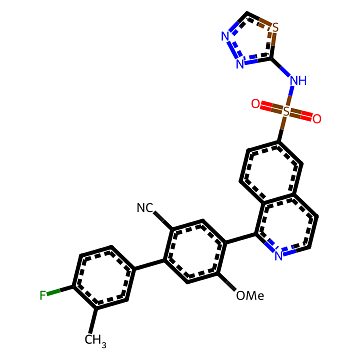 COc1cc(-c2ccc(F)c(C)c2)c(C#N)cc1-c1nccc2cc(S(=O)(=O)Nc3nncs3)ccc12